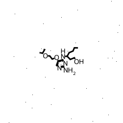 CCCCC(CCO)Nc1nc(N)ncc1OCCOC(C)C